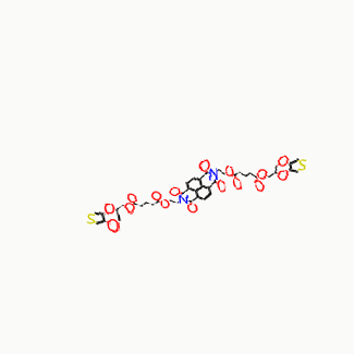 O=C(CCCC(=O)OCC1COc2cscc2O1)OCCN1C(=O)c2ccc3c4c(ccc(c24)C1=O)C(=O)N(CCOC(=O)CCCC(=O)OCC1COc2cscc2O1)C3=O